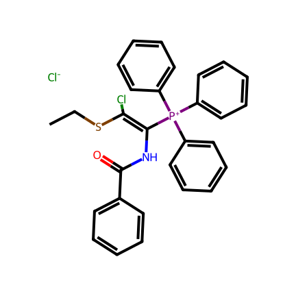 CCSC(Cl)=C(NC(=O)c1ccccc1)[P+](c1ccccc1)(c1ccccc1)c1ccccc1.[Cl-]